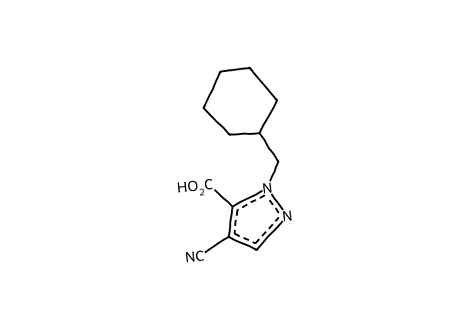 N#Cc1cnn(CC2CCCCC2)c1C(=O)O